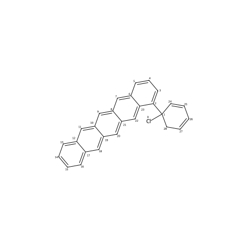 ClC1(c2cccc3cc4cc5cc6ccccc6cc5cc4cc23)C=CC=CC1